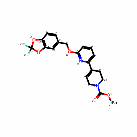 CC(C)(C)OC(=O)N1CC=C(c2cccc(OCc3ccc4c(c3)OC(F)(F)O4)n2)CC1